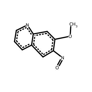 COc1cc2ncccc2cc1N=O